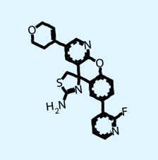 NC1=NC2(CS1)c1cc(-c3cccnc3F)ccc1Oc1ncc(C3=CCOCC3)cc12